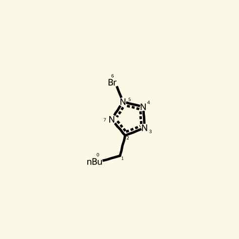 CCCCCc1nnn(Br)n1